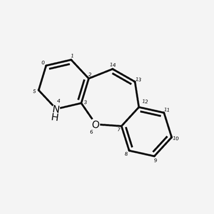 C1=CC2=C(NC1)Oc1ccccc1C=C2